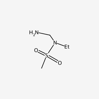 CCN(CN)S(C)(=O)=O